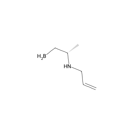 BC[C@H](C)NCC=C